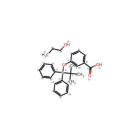 CC(C)(C)[Si](Oc1cccc(C(=O)O)c1)(c1ccccc1)c1ccccc1.CCCO